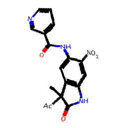 CC(=O)C1(C)C(=O)Nc2cc([N+](=O)[O-])c(NC(=O)c3cccnc3)cc21